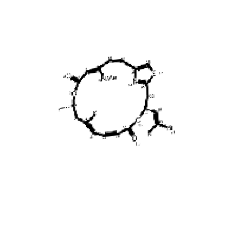 CN/C1=C\C(=O)O[C@@H](C)C/C(C)=C/C=C\C(=O)O[C@H](/C=C(\C)Br)Cc2nc(cs2)CC1